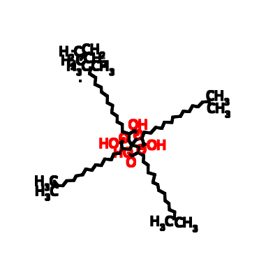 CC(C)CCCCCCCCCCCCCC(CC(CC(CCCCCCCCCCCCCC(C)C)C(=O)O)(CC(CCCCCCCCCCCCCC(C)C)C(=O)O)CC(CCCCCCCCCCCCCC(C)C)C(=O)O)C(=O)O.[CH2]C([CH2])([CH2])[CH2]